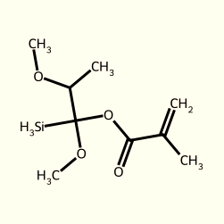 C=C(C)C(=O)OC([SiH3])(OC)C(C)OC